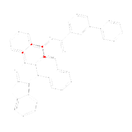 c1ccc(-c2cccc(-c3nc(-c4ccccc4)nc(-c4ccccc4-c4c5ccccc5nc5sc6ccccc6c45)n3)c2)cc1